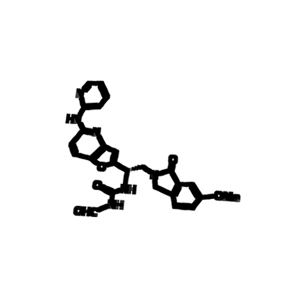 COc1ccc2c(c1)C(=O)N(C[C@H](NC(=O)NC=O)c1cc3nc(Nc4ccccn4)ccc3o1)C2